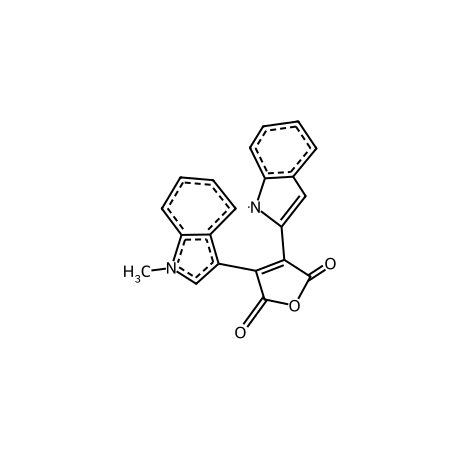 Cn1cc(C2=C(C3=Cc4ccccc4[N]3)C(=O)OC2=O)c2ccccc21